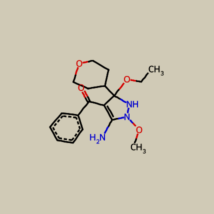 CCOC1(C2CCOCC2)NN(OC)C(N)=C1C(=O)c1ccccc1